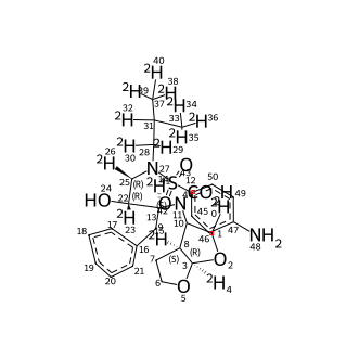 [2H]C1O[C@@]2([2H])OCC[C@@]2([2H])C1N(C(=O)O)[C@@]([2H])(Cc1ccccc1)[C@]([2H])(O)[C@@H]([2H])N(C([2H])([2H])C([2H])(C([2H])([2H])[2H])C([2H])([2H])[2H])S(=O)(=O)c1ccc(N)cc1